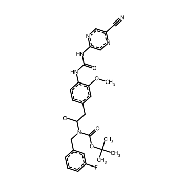 COc1cc(CC(Cl)N(Cc2cccc(F)c2)C(=O)OC(C)(C)C)ccc1NC(=O)Nc1cnc(C#N)cn1